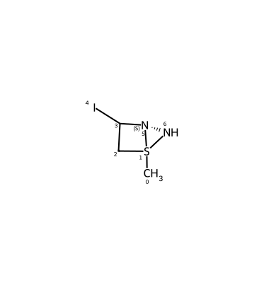 CS12CC(I)[N@]1N2